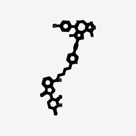 Cc1c(C#Cc2ccc(CCCCNc3cccc4c3CN(C3CCC(=O)NC3=O)C4=O)nc2)sc2c1C(c1ccc(Cl)cc1)=NCc1nnc(C)n1-2